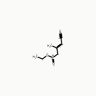 CCO[PH](=O)C/C(C)=C/C#N